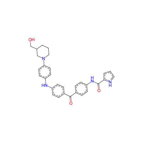 O=C(c1ccc(NC(=O)c2ccc[nH]2)cc1)c1ccc(Nc2ccc(N3CCCC(CO)C3)cc2)cc1